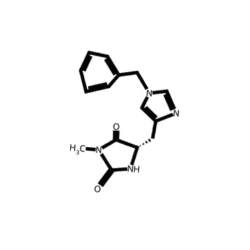 CN1C(=O)N[C@@H](Cc2cn(Cc3ccccc3)cn2)C1=O